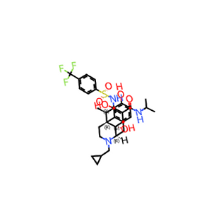 CC(C)NC(=O)C1=C(NS(=O)(=O)c2ccc(C(F)(F)F)cc2)[C@H](C)[C@]23CCN(CC4CC4)[C@H](Cc4ccc(O)c(O)c42)[C@]3(O)C1